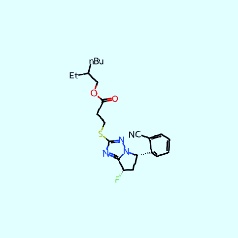 CCCCC(CC)COC(=O)CCSc1nc2n(n1)[C@H](c1ccccc1C#N)C[C@@H]2F